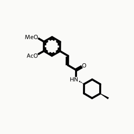 COc1ccc(C=CC(=O)N[C@H]2CC[C@H](C)CC2)cc1OC(C)=O